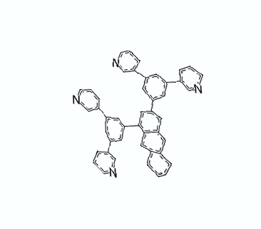 c1cncc(-c2cc(-c3cccnc3)cc(-c3cc(-c4cc(-c5cccnc5)cc(-c5cccnc5)c4)c4cc5ccccc5cc4c3)c2)c1